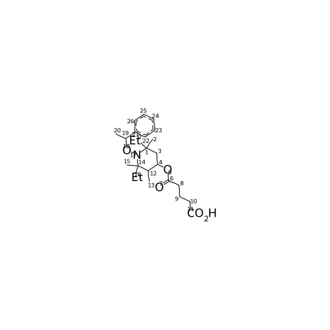 CCC1(C)CC(OC(=O)CCCC(=O)O)C(C)C(C)(CC)N1OC(C)c1ccccc1